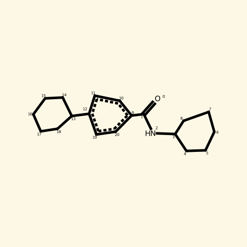 O=C(NC1CCCCC1)c1ccc(C2CCCCC2)cc1